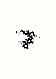 C=C(/C=C\C=C/C)[C@H]1CC[C@H](C)N(Cc2ccc(C3(C(N)=O)CCOCC3)cc2F)S1(=O)=O